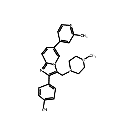 Cc1cc(-c2ccc3nc(-c4ccc(C#N)cc4)c(CN4CCN(C)CC4)n3c2)ccn1